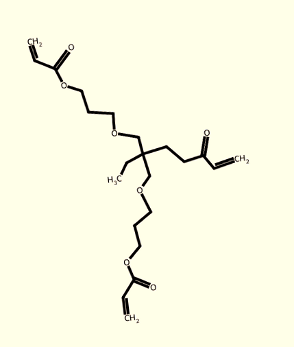 C=CC(=O)CCC(CC)(COCCCOC(=O)C=C)COCCCOC(=O)C=C